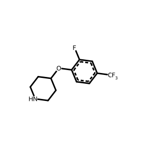 Fc1cc(C(F)(F)F)ccc1OC1CCNCC1